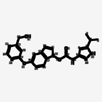 CC(C)c1cc(NC(=O)On2ccc3cc(Oc4cc(CO)ncn4)ccc32)n[nH]1